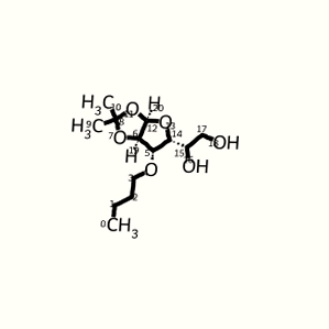 CCCCO[C@@H]1[C@H]2OC(C)(C)O[C@H]2O[C@@H]1C(O)CO